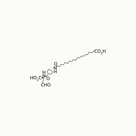 O=CCC[C@H](NC(=O)[C@H]1CC[C@H](CNC(=O)CCCCCCCCCCCCCCCCCCC(=O)O)CC1)C(=O)O